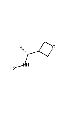 C[C@@H](NS)C1COC1